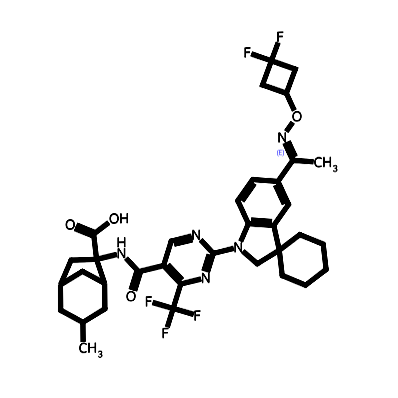 C/C(=N\OC1CC(F)(F)C1)c1ccc2c(c1)C1(CCCCC1)CN2c1ncc(C(=O)NC2(C(=O)O)CC3CC(C)CC2C3)c(C(F)(F)F)n1